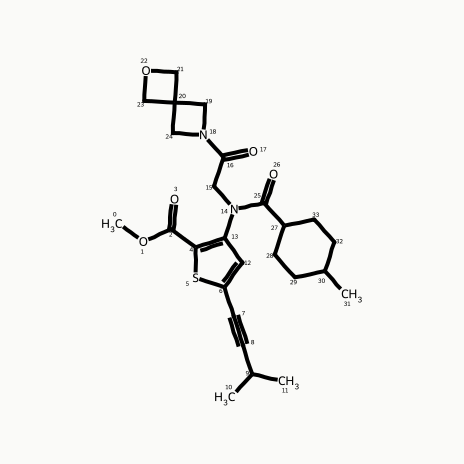 COC(=O)c1sc(C#CC(C)C)cc1N(CC(=O)N1CC2(COC2)C1)C(=O)C1CCC(C)CC1